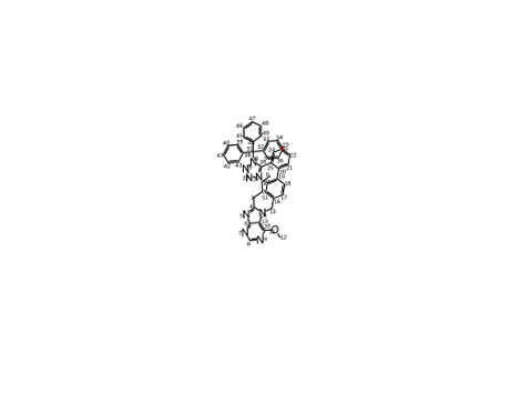 CCCCc1nc2ncnc(OC)c2n1Cc1ccc(-c2ccccc2-c2nnnn2C(c2ccccc2)(c2ccccc2)c2ccccc2)cc1